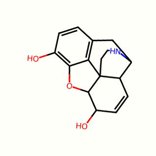 Oc1ccc2c3c1OC1C(O)C=CC4C(C2)NCCC341